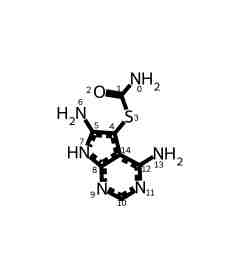 NC(=O)Sc1c(N)[nH]c2ncnc(N)c12